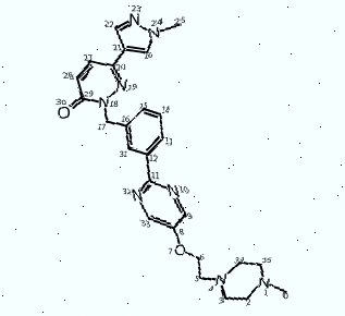 CN1CCN(CCOc2cnc(-c3cccc(Cn4nc(-c5cnn(C)c5)ccc4=O)c3)nc2)CC1